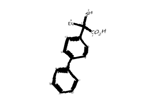 CCC(S)(C(=O)O)c1ccc(-c2ccccc2)cc1